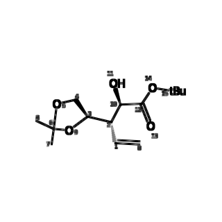 C=C[C@H]([C@@H]1COC(C)(C)O1)[C@@H](O)C(=O)OC(C)(C)C